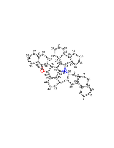 c1ccc2c(c1)ccc1cc(-n3c4c5ccccc5c5ccccc5c4c4c5c6ccc7ccccc7c6oc5c5ccccc5c43)ccc12